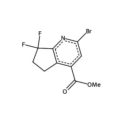 COC(=O)c1cc(Br)nc2c1CCC2(F)F